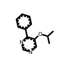 CC(C)Oc1cncnc1-c1ccccc1